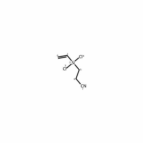 C=C[Si](Cl)(Cl)CCC#N